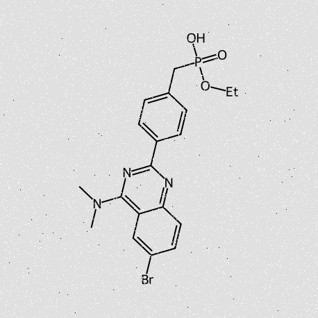 CCOP(=O)(O)Cc1ccc(-c2nc(N(C)C)c3cc(Br)ccc3n2)cc1